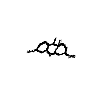 COC1CCC2C(C1)OC1CC(OC)CC[C@@H]1C2C